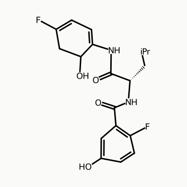 CC(C)C[C@H](NC(=O)c1cc(O)ccc1F)C(=O)NC1=CC=C(F)CC1O